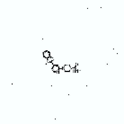 CNC(=O)N1CCN(c2cc(-c3nc4ccccc4n3C)ccn2)CC1